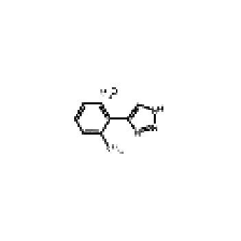 Cc1ccccc1-c1c[nH]nn1.O